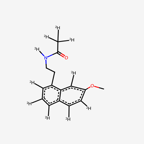 [2H]c1c([2H])c(CCN([2H])C(=O)C([2H])([2H])[2H])c2c([2H])c(OC)c([2H])c([2H])c2c1[2H]